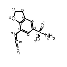 NS(=O)(=O)c1cc2c(c(N=C=S)c1)OCC2